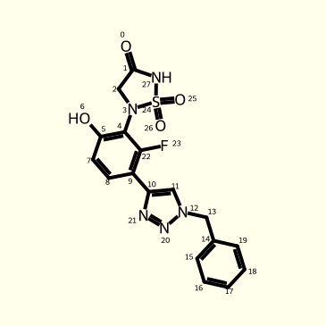 O=C1CN(c2c(O)ccc(-c3cn(Cc4ccccc4)nn3)c2F)S(=O)(=O)N1